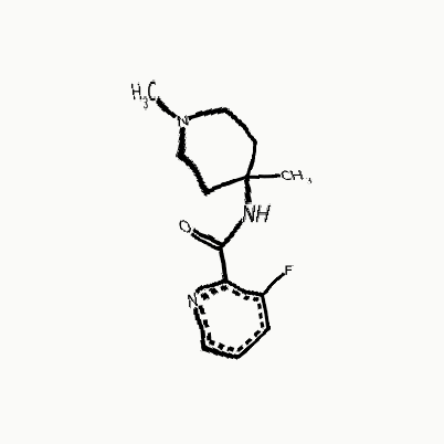 CN1CCC(C)(NC(=O)c2ncccc2F)CC1